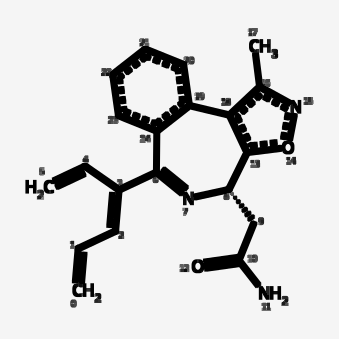 C=C/C=C(\C=C)C1=N[C@@H](CC(N)=O)c2onc(C)c2-c2ccccc21